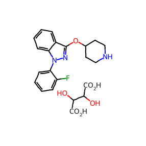 Fc1ccccc1-n1nc(OC2CCNCC2)c2ccccc21.O=C(O)C(O)C(O)C(=O)O